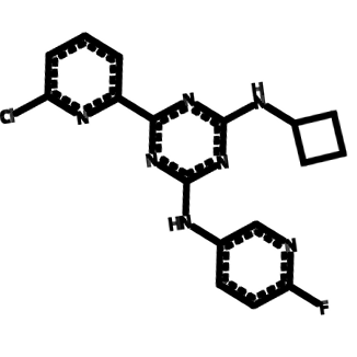 Fc1ccc(Nc2nc(NC3CCC3)nc(-c3cccc(Cl)n3)n2)cn1